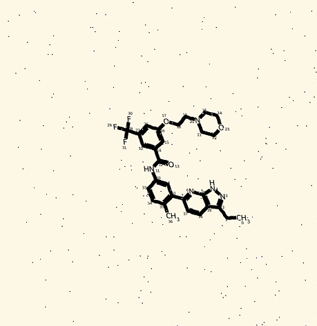 CCc1n[nH]c2nc(-c3cc(NC(=O)c4cc(OCCN5CCOCC5)cc(C(F)(F)F)c4)ccc3C)ccc12